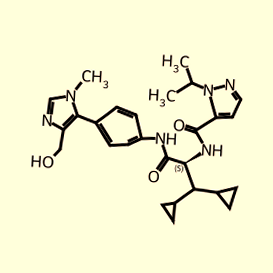 CC(C)n1nccc1C(=O)N[C@H](C(=O)Nc1ccc(-c2c(CO)ncn2C)cc1)C(C1CC1)C1CC1